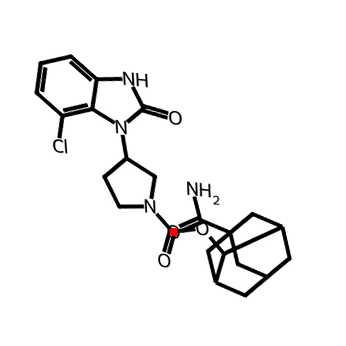 NC(=O)C12CC3CC(C1)C(OC(=O)N1CCC(n4c(=O)[nH]c5cccc(Cl)c54)C1)C(C3)C2